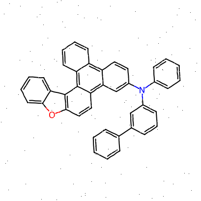 c1ccc(-c2cccc(N(c3ccccc3)c3ccc4c5ccccc5c5c(ccc6oc7ccccc7c65)c4c3)c2)cc1